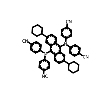 [C-]#[N+]c1ccc(N(c2ccc([N+]#[C-])cc2)c2c3ccc(C4CCCCC4)cc3c(N(c3ccc(C#N)cc3)c3ccc(C#N)cc3)c3ccc(C4CCCCC4)cc23)cc1